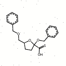 OC(=S)C1(OCc2ccccc2)CCC(COCc2ccccc2)O1